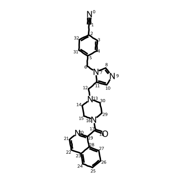 N#Cc1ccc(Cn2cncc2CN2CCN(C(=O)c3nccc4ccccc34)CC2)cc1